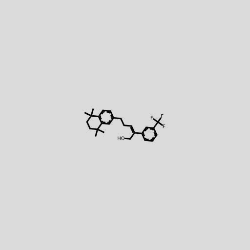 CC1(C)CCC(C)(C)c2cc(CCC=C(CO)c3cccc(C(F)(F)F)c3)ccc21